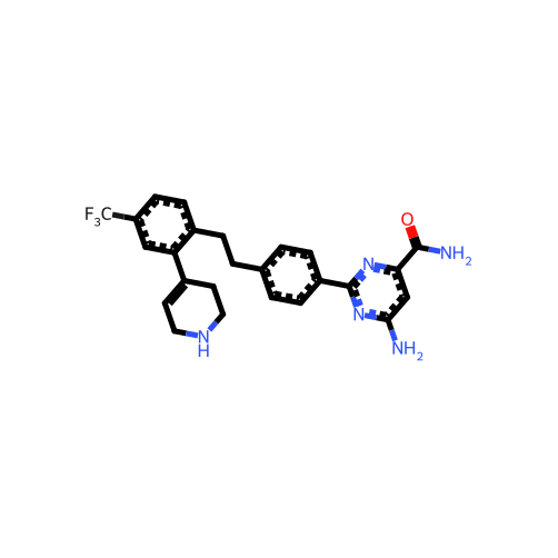 NC(=O)c1cc(N)nc(-c2ccc(CCc3ccc(C(F)(F)F)cc3C3=CCNCC3)cc2)n1